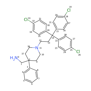 NCC1(c2ccccc2)CCN(CCC(c2ccc(Cl)cc2)(c2ccc(Cl)cc2)c2ccc(Cl)cc2)CC1